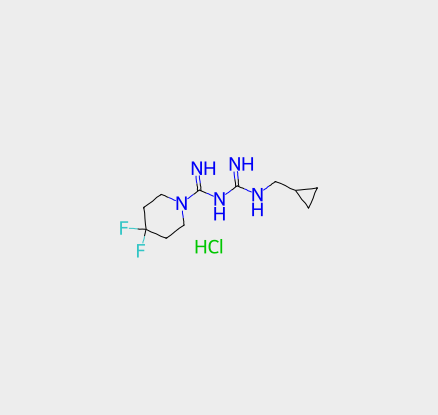 Cl.N=C(NCC1CC1)NC(=N)N1CCC(F)(F)CC1